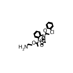 CC(Nc1ccccc1N(C(C)OCCN)S(C)(=O)=O)Oc1ccccc1Cl